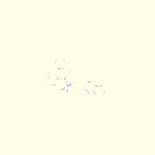 Cc1ccccc1-c1cccc2cnn(CCc3ccc4ccccc4n3)c(=O)c12